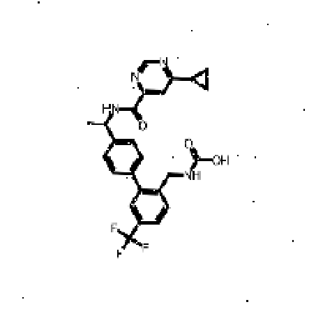 C[C@@H](NC(=O)c1cc(C2CC2)ncn1)c1ccc(-c2cc(C(F)(F)F)ccc2CNC(=O)O)cc1